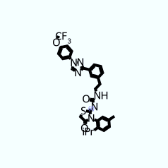 Cc1ccc(C(C)C)c(N2C(=O)CS/C2=N\C(=O)NCCc2cccc(-c3ncn(-c4ccc(OC(F)(F)F)cc4)n3)c2)c1